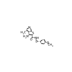 COc1ccc([C@@H]2C[C@H]2NC(=O)c2sc3cncc(C)c3c2N)cc1